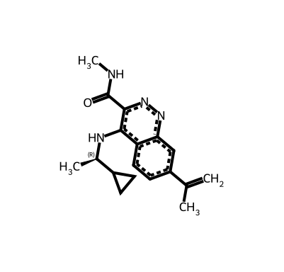 C=C(C)c1ccc2c(N[C@H](C)C3CC3)c(C(=O)NC)nnc2c1